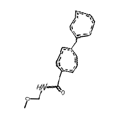 COCNC(=O)c1ccc(-c2ccccc2)cc1